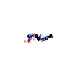 Cc1c(NC(=O)c2cc3n(n2)CCCC3NCC(=O)O)cccc1-c1cccc(NC(=O)c2nc3c(n2C)CCN(CCC24CCC(CC2)C4)C3)c1C